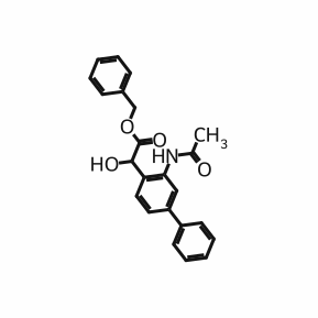 CC(=O)Nc1cc(-c2ccccc2)ccc1C(O)C(=O)OCc1ccccc1